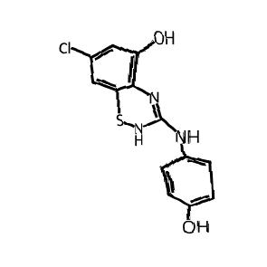 Oc1ccc(NC2=Nc3c(O)cc(Cl)cc3SN2)cc1